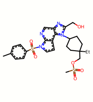 CCC1(COS(C)(=O)=O)CCC(n2c(CO)nc3cnc4c(ccn4S(=O)(=O)c4ccc(C)cc4)c32)CC1